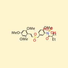 CCC(CC)C(=O)N(c1cc(CS(=O)(=O)C=Cc2c(OC)cc(OC)cc2OC)ccc1OC)P(=O)(O)O